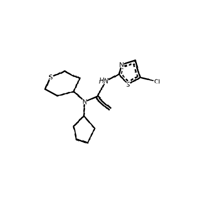 C=C(Nc1ncc(Cl)s1)N(C1CCCC1)C1CCSCC1